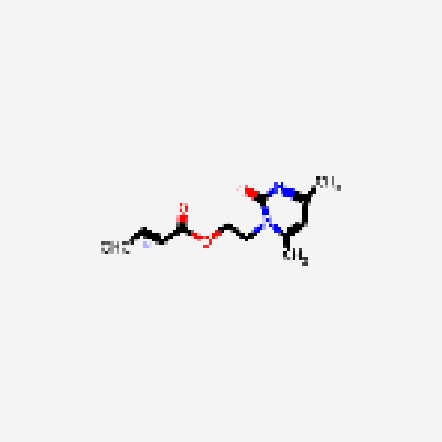 Cc1cc(C)n(CCOC(=O)/C=C/C=O)c(=O)n1